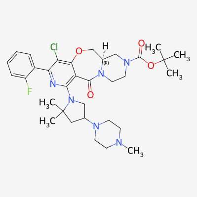 CN1CCN(C2CN(c3nc(-c4ccccc4F)c(Cl)c4c3C(=O)N3CCN(C(=O)OC(C)(C)C)C[C@@H]3CO4)C(C)(C)C2)CC1